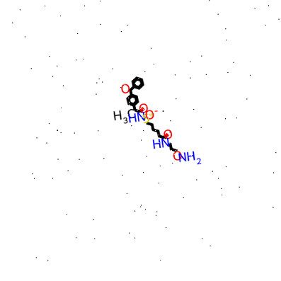 CC(C(=O)N[S+]([O-])CCCCCC(=O)NCCCON)c1ccc(C(=O)c2ccccc2)cc1